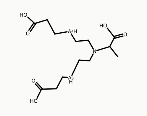 CC(C(=O)O)N(CC[AsH]CCC(=O)O)CC[AsH]CCC(=O)O